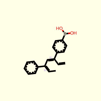 C=C/C(=C\C(=C/C)c1ccccc1)c1ccc(B(O)O)cc1